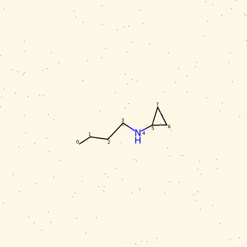 CCC[CH]NC1CC1